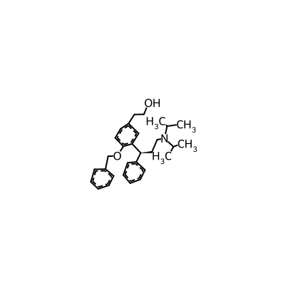 CC(C)N(CC[C@@H](c1ccccc1)c1cc(CCO)ccc1OCc1ccccc1)C(C)C